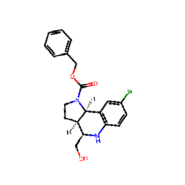 O=C(OCc1ccccc1)N1CC[C@@H]2[C@H](CO)Nc3ccc(Br)cc3[C@@H]21